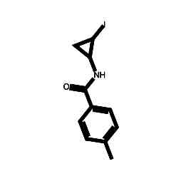 Cc1ccc(C(=O)NC2CC2I)cc1